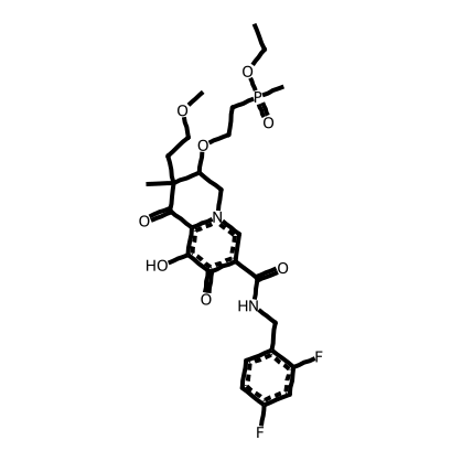 CCOP(C)(=O)CCOC1Cn2cc(C(=O)NCc3ccc(F)cc3F)c(=O)c(O)c2C(=O)C1(C)CCOC